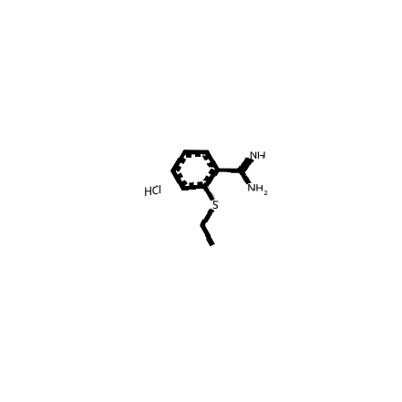 CCSc1ccccc1C(=N)N.Cl